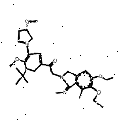 CCOc1cc2c(c(F)c1OCC)/C(=N/C)N(CC(=O)C1=CC(N3CC[C@H](OC)C3)=C(OC)C(C(C)(C)C)C1)C2